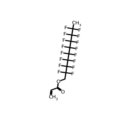 C=CC(=O)OCC(F)(F)C(F)(F)C(F)(F)C(F)(F)C(F)(F)C(F)(F)C(F)(F)C(C)(F)F